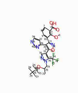 COc1c(C(=O)O)cccc1-c1noc(-c2cnn(CC(C)O[Si](C)(C)C(C)(C)C)c2C(F)(F)F)c1-c1ccncn1